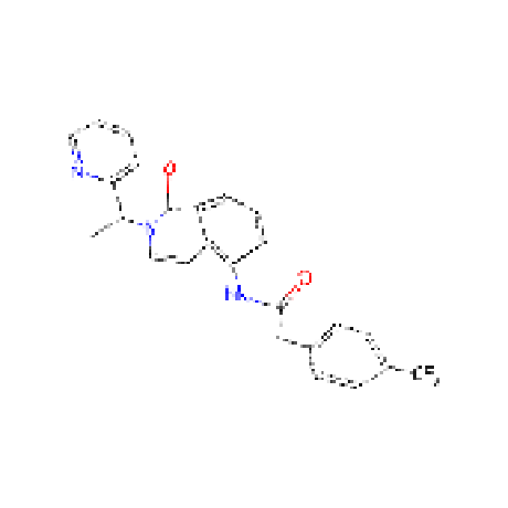 CC(c1ccccn1)n1ccc2c(NC(=O)Cc3ccc(C(F)(F)F)cc3)cccc2c1=O